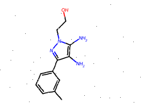 Cc1cccc(-c2nn(CCO)c(N)c2N)c1